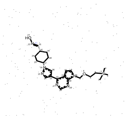 C[Si](C)(C)CCOCn1ccc2c(-c3cnn([C@H]4CC[C@@H](/C=N/O)CC4)c3)ncnc21